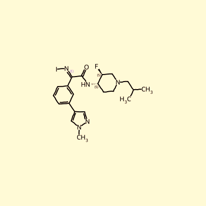 CC(C)CN1CC[C@H](NC(=O)/C(=N/I)c2cccc(-c3cnn(C)c3)c2)[C@@H](F)C1